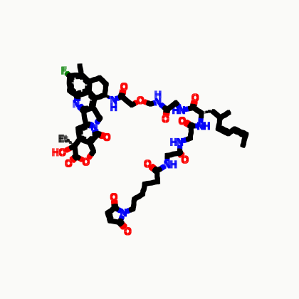 C/C=C\C=C/C(C)C[C@H](NC(=O)CNC(=O)CNC(=O)CCCCCN1C(=O)C=CC1=O)C(=O)NCC(=O)NCOCC(=O)N[C@H]1CCc2c(C)c(F)cc3nc4c(c1c23)Cn1c-4cc2c(c1=O)COC(=O)[C@]2(O)CC